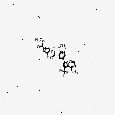 COC(=O)N1C[C@H](F)[C@H](NC(=O)c2cc(-c3cc(C(F)(F)F)c4c(N)ncnn34)cnc2OC)C1